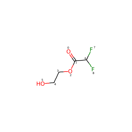 O=C(OCCO)C(F)F